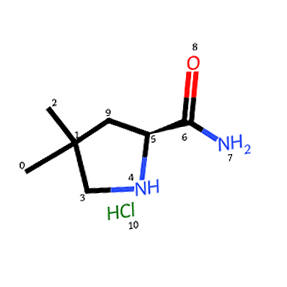 CC1(C)CN[C@H](C(N)=O)C1.Cl